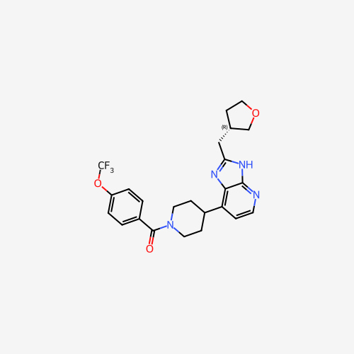 O=C(c1ccc(OC(F)(F)F)cc1)N1CCC(c2ccnc3[nH]c(C[C@@H]4CCOC4)nc23)CC1